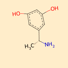 C[C@@H](N)c1cc(O)cc(O)c1